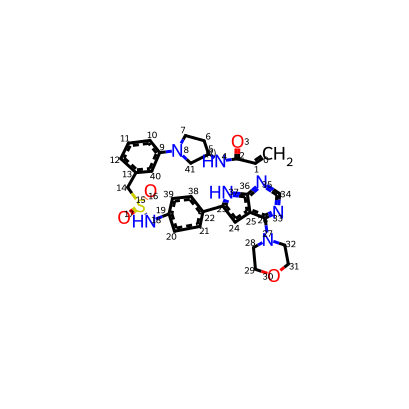 C=CC(=O)N[C@@H]1CCN(c2cccc(CS(=O)(=O)Nc3ccc(-c4cc5c(N6CCOCC6)ncnc5[nH]4)cc3)c2)C1